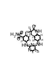 Cc1ccc(Nc2ncc(C)c(Nc3ccc4c(c3)CC(C)(C)C(=O)N4)n2)cc1S(N)(=O)=O